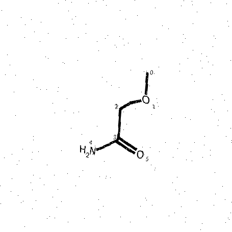 COCC(N)=O